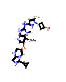 COc1c(Oc2cnc3cnc(C4CC4)n3c2)cnc2nc(Nc3cc(C(C)(C)C)n([C@H]4C[C@H](O)C4)n3)n(C)c12